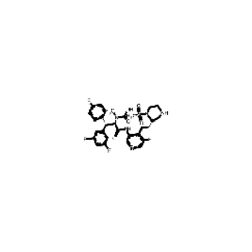 CN(C(=O)O)[C@H](C(=O)Nc1cncc(F)c1CC[C@H]1CNCCN1S(C)(=O)=O)[C@@H](c1ccc(F)cc1)c1cc(F)cc(F)c1